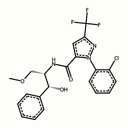 COC[C@H](NC(=O)c1cc(C(F)(F)F)nn1-c1ccccc1Cl)[C@H](O)c1ccccc1